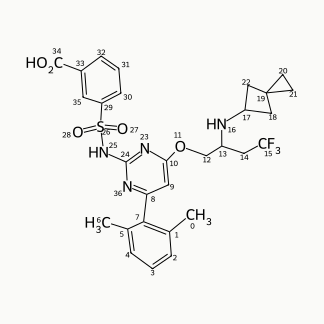 Cc1cccc(C)c1-c1cc(OCC(CC(F)(F)F)NC2CC3(CC3)C2)nc(NS(=O)(=O)c2cccc(C(=O)O)c2)n1